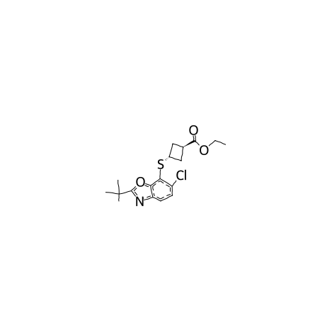 CCOC(=O)[C@H]1C[C@H](Sc2c(Cl)ccc3nc(C(C)(C)C)oc23)C1